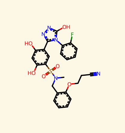 CN(Cc1ccccc1OCCC#N)S(=O)(=O)c1cc(-c2nnc(O)n2-c2ccccc2F)c(O)cc1O